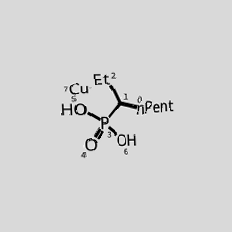 CCCCCC(CC)P(=O)(O)O.[Cu]